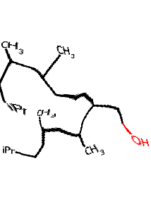 CC(C)CC(C)C(C)CCC(CO)C(C)C(C)CC(C)C